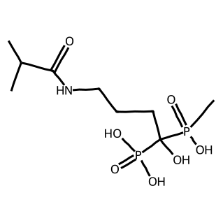 CC(C)C(=O)NCCCC(O)(P(C)(=O)O)P(=O)(O)O